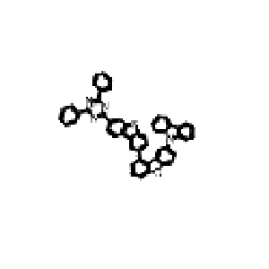 c1ccc(-c2nc(-c3ccccc3)nc(-c3ccc4c(c3)sc3ccc(-c5cccc6oc7ccc(-n8c9ccccc9c9ccccc98)cc7c56)cc34)n2)cc1